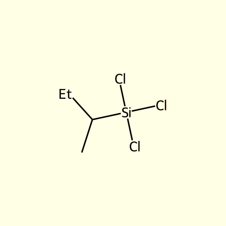 CCC(C)[Si](Cl)(Cl)Cl